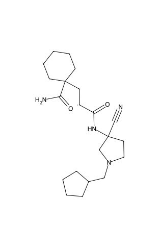 N#CC1(NC(=O)[CH]CC2(C(N)=O)CCCCC2)CCN(CC2CCCC2)C1